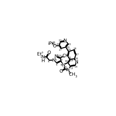 CCNC(=O)Cn1cc(-n2c(=O)n(C)c3cnc4ccc(-c5cncc(OC(C)C)c5)cc4c32)c(C)n1